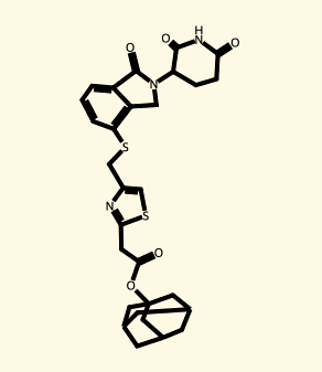 O=C1CCC(N2Cc3c(SCc4csc(CC(=O)OC56CC7CC(CC(C7)C5)C6)n4)cccc3C2=O)C(=O)N1